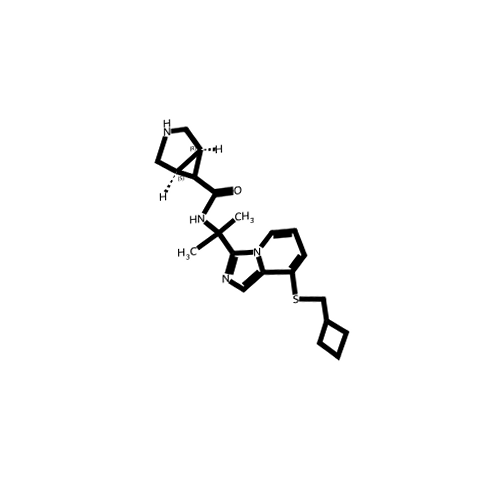 CC(C)(NC(=O)C1[C@H]2CNC[C@@H]12)c1ncc2c(SCC3CCC3)cccn12